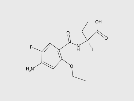 CCOc1cc(N)c(F)cc1C(=O)N[C@@](C)(CC)C(=O)O